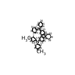 Cc1ccc(N(c2ccc(C)cc2)c2ccc(C3(c4ccc(N(c5ccccc5)c5ccccc5)cc4)CCCCC3)cc2)cc1